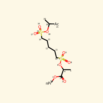 CCCOC(=O)C(C)OS(=O)(=O)CCCCCS(=O)(=O)OC(C)C(C)=O